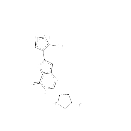 Cc1[nH]ncc1-c1cc2nc([C@@H]3C[C@H](F)CN3)[nH]c(=O)c2s1